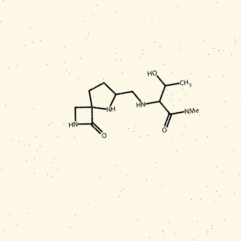 CNC(=O)C(NCC1CCC2(CNC2=O)N1)C(C)O